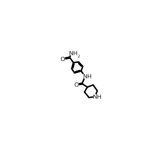 NC(=O)c1ccc(NC(=O)C2CCNCC2)cc1